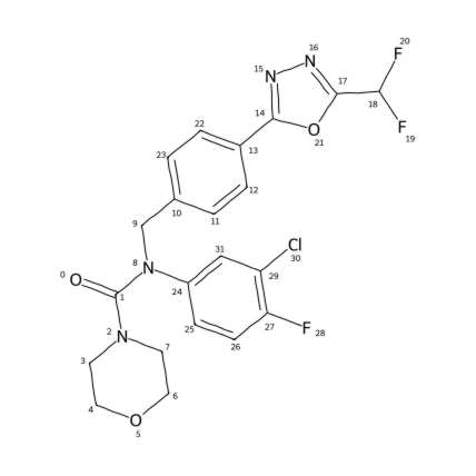 O=C(N1CCOCC1)N(Cc1ccc(-c2nnc(C(F)F)o2)cc1)c1ccc(F)c(Cl)c1